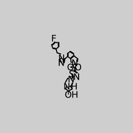 O=S(=O)(c1cnc(N2CCN3C[C@H](O)C[C@H]3C2)s1)N1CCc2cccc(-c3cncn3CCc3ccc(F)cc3)c2C1